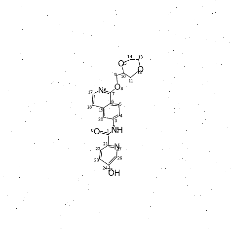 O=C(Nc1ccc2c(OCC3COCCO3)nccc2c1)c1ccc(O)cn1